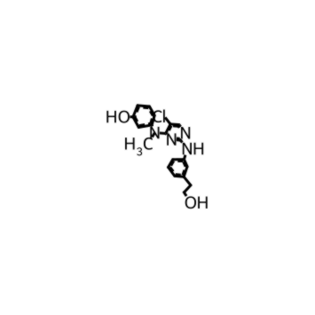 CN(c1cccc(O)c1)c1nc(Nc2cccc(CCO)c2)ncc1Cl